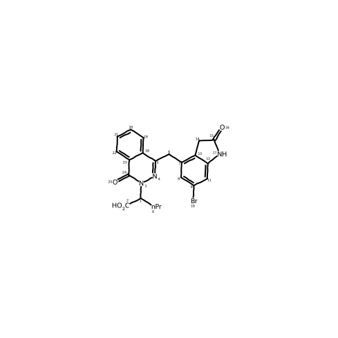 CCCC(C(=O)O)n1nc(Cc2cc(Br)cc3c2CC(=O)N3)c2ccccc2c1=O